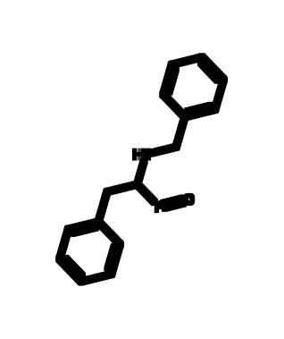 O=PC(Cc1ccccc1)NCc1ccccc1